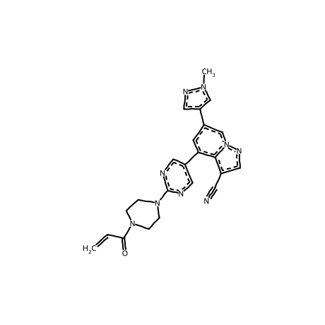 C=CC(=O)N1CCN(c2ncc(-c3cc(-c4cnn(C)c4)cn4ncc(C#N)c34)cn2)CC1